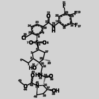 CCC1C[C@@H](S(=O)(=O)c2cc(C(=O)Nc3cc(F)c(F)c(F)c3)ccc2Cl)C[C@H](C)[C@@]1(O)CNC(=O)[C@@H]1[C@@H](O)CCN1C(=O)OC